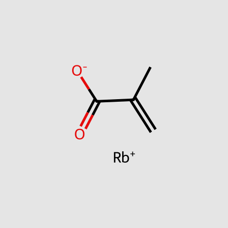 C=C(C)C(=O)[O-].[Rb+]